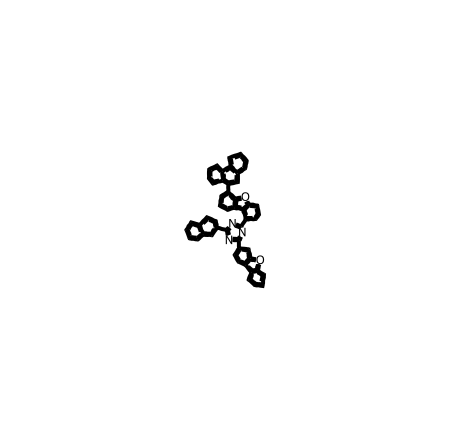 c1ccc2cc(-c3nc(-c4ccc5c(c4)oc4ccccc45)nc(-c4cccc5oc6c(-c7cc8ccccc8c8ccccc78)cccc6c45)n3)ccc2c1